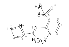 CC(Nc1c([N+](=O)[O-])cccc1S(N)(=O)=O)c1cc[nH]n1